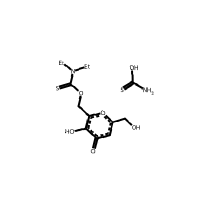 CCN(CC)C(=S)OCc1oc(CO)cc(=O)c1O.NC(O)=S